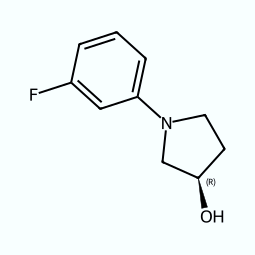 O[C@@H]1CCN(c2cccc(F)c2)C1